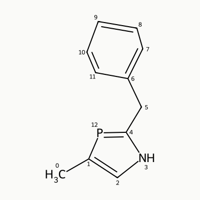 Cc1c[nH]c(Cc2ccccc2)p1